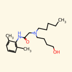 CCCCCN(CCCCO)CC(=O)Nc1c(C)cccc1C